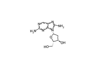 Nc1ncc2nc(N)n([C@@H]3C[C@@H](O)[C@H](CO)O3)c2n1